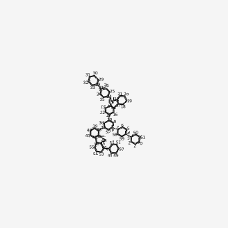 c1ccc(-c2ccc(-c3cc(-c4ccc5c(c4)c4ccccc4n5-c4ccc(-c5ccccc5)cc4)cc(-c4cccc5c4sc4c(-c6ccccc6)cccc45)c3)cc2)cc1